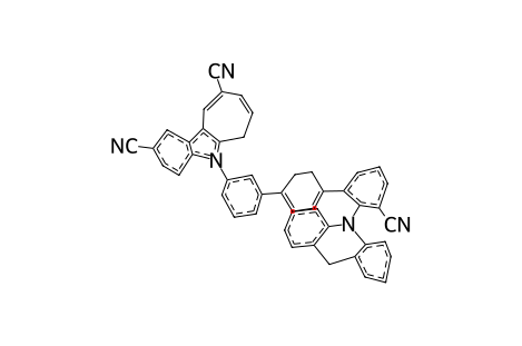 N#CC1=Cc2c(n(-c3cccc(C4=CC=C(c5cccc(C#N)c5N5c6ccccc6Cc6ccccc65)CC4)c3)c3ccc(C#N)cc23)CC=C1